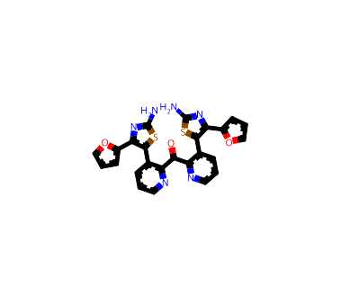 Nc1nc(-c2ccco2)c(-c2cccnc2C(=O)c2ncccc2-c2sc(N)nc2-c2ccco2)s1